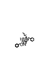 CCCS/C(=N\CC1=CCCC=C1)Nc1nc(OCc2ccccc2)ncc1F